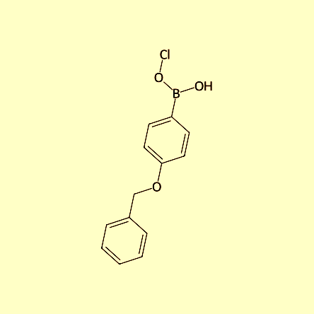 OB(OCl)c1ccc(OCc2ccccc2)cc1